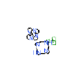 C1=Cc2cc3ccc(cc4nc(cc5ccc(cc1n2)[nH]5)C=C4)[nH]3.ClC(Cl)Cl.c1cc[c]([Au]([c]2ccccn2)([c]2ccccn2)[c]2ccccn2)nc1